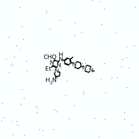 CCc1nc(C=O)c(Nc2ccc(N3CCC(N4CCN(C)CC4)CC3)c(C)c2)nc1N1CC[C@@H](N)C1